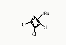 CC(C)(C)c1sc(Cl)c(Cl)c1Cl